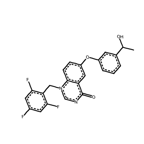 CC(O)c1cccc(Oc2ccc3c(c2)c(=O)ncn3Cc2c(F)cc(F)cc2F)c1